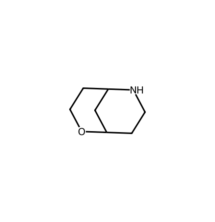 C1CC2CC(CCO2)N1